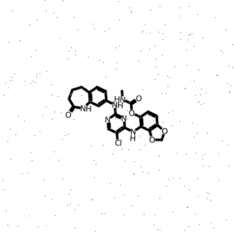 CNC(=O)Oc1ccc2c(c1Nc1nc(Nc3ccc4c(c3)NC(=O)CCC4)ncc1Cl)OCO2